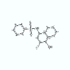 O=S(=O)(Nc1cc(Cl)c(O)c2ccccc12)c1ccccc1